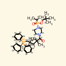 CC(C)P(=O)(OCC(C)(C)C)N1CCN(C(=O)C(C)(C)CC(C)(C)C[PH](c2ccccc2)(c2ccccc2)c2ccccc2)CC1